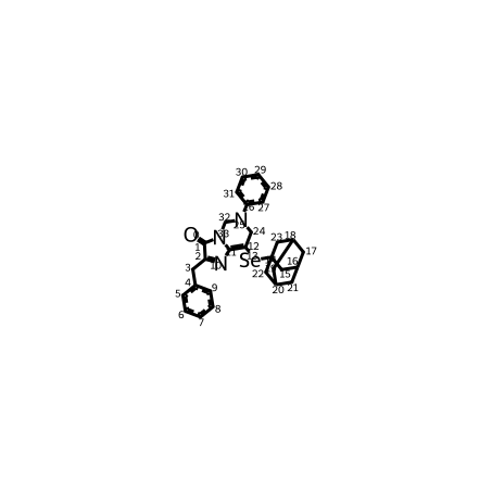 O=C1C(Cc2ccccc2)=NC2=C([Se]C34CC5CC(CC(C5)C3)C4)CN(c3ccccc3)CN12